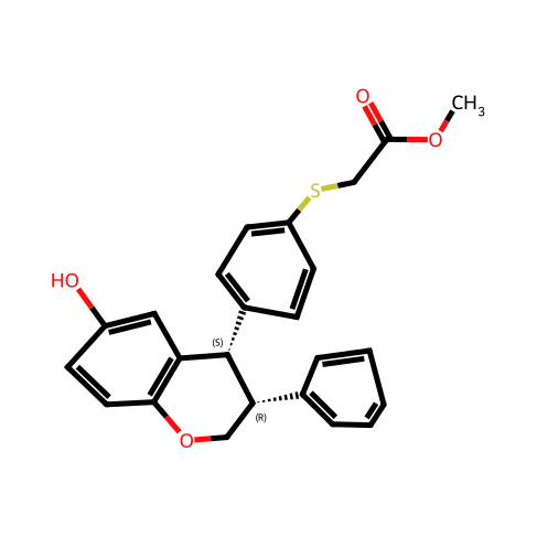 COC(=O)CSc1ccc([C@H]2c3cc(O)ccc3OC[C@H]2c2ccccc2)cc1